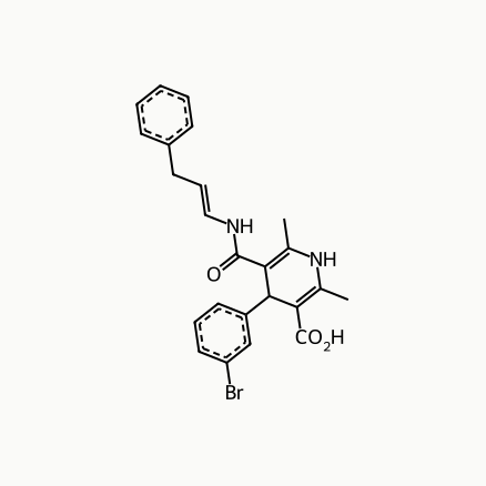 CC1=C(C(=O)O)C(c2cccc(Br)c2)C(C(=O)NC=CCc2ccccc2)=C(C)N1